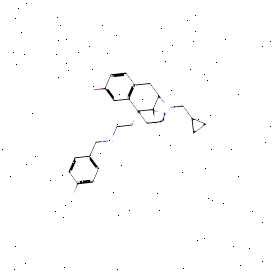 C[C@H]1[C@H]2Cc3ccc(O)cc3[C@@]1(CCNCc1ccc(F)cc1)CCN2CC1CC1